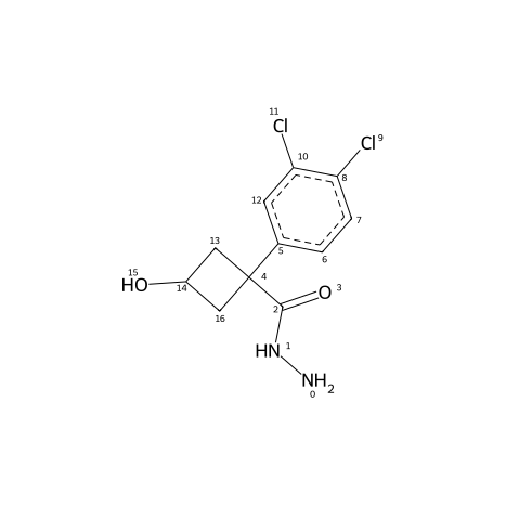 NNC(=O)C1(c2ccc(Cl)c(Cl)c2)CC(O)C1